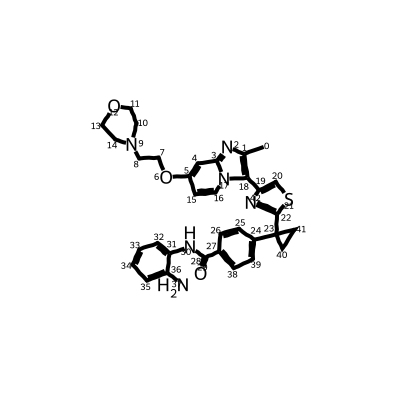 Cc1nc2cc(OCCN3CCOCC3)ccn2c1-c1csc(C2(c3ccc(C(=O)Nc4ccccc4N)cc3)CC2)n1